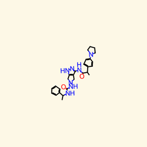 CC(NC(=O)NN1Cc2[nH]nc(NC(=O)C(C)c3ccc(N4CCCC4)cc3)c2C1)c1ccccc1